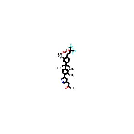 CCC(CC)(c1ccc(CCC(OCOC)(C(F)(F)F)C(F)(F)F)c(C)c1)c1ccc(-c2cncc(CC(C)=O)c2)c(C)c1